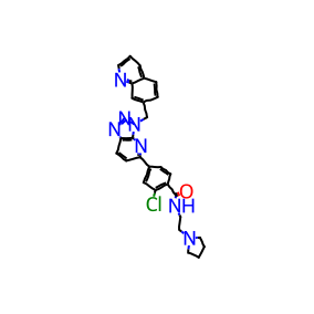 O=C(NCCN1CCCC1)c1ccc(-c2ccc3nnn(Cc4ccc5cccnc5c4)c3n2)cc1Cl